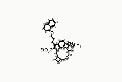 CCOC(=O)c1c(CCCOc2cccc3ccccc23)c2ccc(Cl)c3c2n1CC1CCC1COCc1nn(C)c(C)c1-3